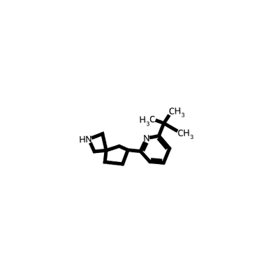 CC(C)(C)c1cccc(C2CCC3(CNC3)C2)n1